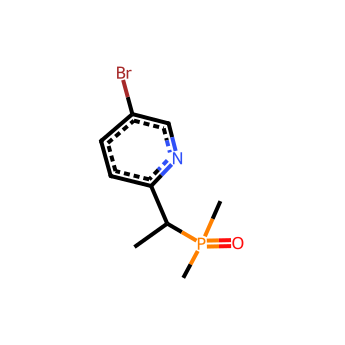 CC(c1ccc(Br)cn1)P(C)(C)=O